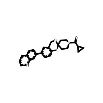 O=C(C1CC1)N1CCC2(CC1)OCc1cc(-c3ccc4cccnc4c3)ccc1O2